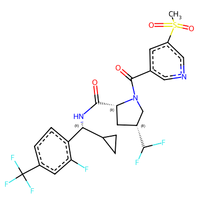 CS(=O)(=O)c1cncc(C(=O)N2C[C@H](C(F)F)C[C@@H]2C(=O)N[C@@H](c2ccc(C(F)(F)F)cc2F)C2CC2)c1